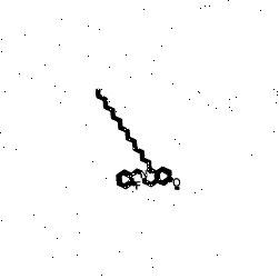 CCCCCCCCCCCCCCCC1=[N+](Cc2ccccc2F)CCc2cc(OC)ccc21